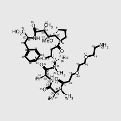 CC[C@@H](C)[C@@H](C(CC(=O)N1CCC[C@H]1[C@H](OC)[C@@H](C)C(=O)N[C@@H](Cc1ccccc1)C(=O)O)OC)N(C)C(=O)[C@@H](NC(=O)[C@H](C(C)C)N(C)C(=O)CCOCCOCCN)C(C)C